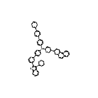 c1ccc(-c2ccc(-c3ccc(N(c4ccc(-c5cccc(-c6oc7ccccc7c6-c6ccccc6)c5)cc4)c4ccc(-c5ccc6c(ccc7ccccc76)c5)cc4)cc3)cc2)cc1